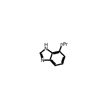 CCCc1cccc2nc[nH]c12